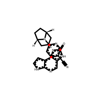 N#Cc1ccc(N2[C@@H]3CC[C@H]2C[C@@H](n2c(=O)[nH]c4cnc5[nH]ccc5c42)C3)nc1